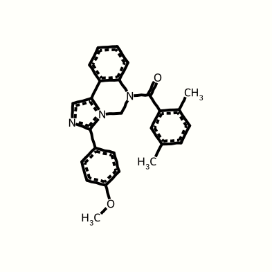 COc1ccc(-c2ncc3n2CN(C(=O)c2cc(C)ccc2C)c2ccccc2-3)cc1